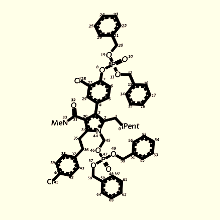 CCCC(C)Cc1c(-c2ccc(OP(=O)(OCc3ccccc3)OCc3ccccc3)c(Cl)c2)c(C(=O)NC)c(CCc2ccc(Cl)cc2)n1COP(=O)(OCc1ccccc1)OCc1ccccc1